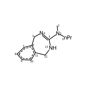 CCCN(C)C1=NCc2ccccc2CN1